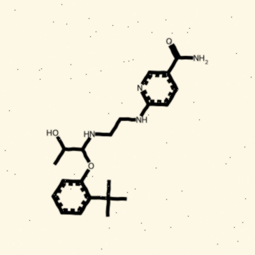 CC(O)C(NCCNc1ccc(C(N)=O)cn1)Oc1ccccc1C(C)(C)C